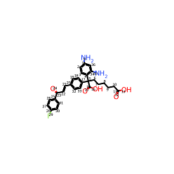 Nc1ccc(C(CCCCCC(=O)O)(C(=O)O)c2ccc(/C=C/C(=O)c3ccc(F)cc3)cc2)c(N)c1